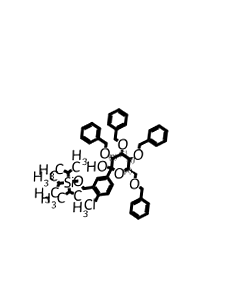 CC(C)[Si](OCc1cc(C2(O)O[C@H](COCc3ccccc3)[C@@H](OCc3ccccc3)[C@H](OCc3ccccc3)[C@H]2OCc2ccccc2)ccc1Cl)(C(C)C)C(C)C